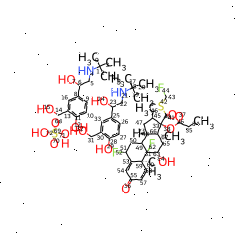 CC(C)(C)NCC(O)c1ccc(O)c(CO)c1.CC(C)(C)NCC(O)c1ccc(O)c(CO)c1.CCC(=O)O[C@]1(C(=O)SCF)[C@H](C)C[C@H]2C3C[C@H](F)C4=CC(=O)C=C[C@]4(C)[C@@]3(F)[C@@H](O)C[C@@]21C.O=S(=O)(O)O